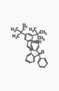 CC(C)(C)c1cc(/C=N/c2ccccc2P(=O)(c2ccccc2)c2ccccc2)c(O)c(C(C)(C)C)c1